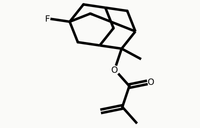 C=C(C)C(=O)OC1(C)C2CC3CC1CC(F)(C3)C2